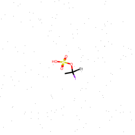 CCC(C)(I)OS(=O)(=O)O